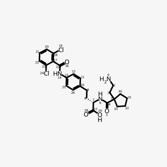 NCCC1(C(=O)N[C@@H](CCc2ccc(NC(=O)c3c(Cl)cccc3Cl)cc2)C(=O)O)CCCC1